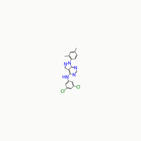 Cc1ccc(-n2ncc3c(Nc4cc(Cl)cc(Cl)c4)ncnc32)c(C)c1